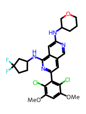 COc1cc(OC)c(Cl)c(-c2cc3cnc(NC4CCCOC4)cc3c(NC3CCC(F)(F)C3)n2)c1Cl